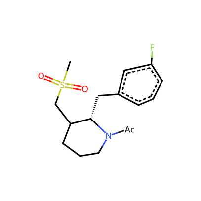 CC(=O)N1CCCC(CS(C)(=O)=O)[C@@H]1Cc1cccc(F)c1